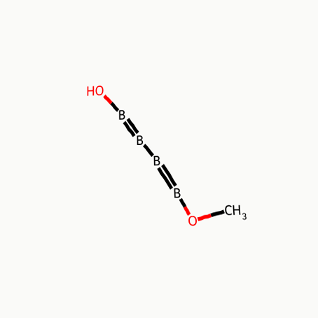 COB=BB=BO